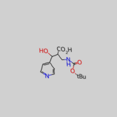 CC(C)(C)OC(=O)NCC(C(=O)O)C(O)c1ccncc1